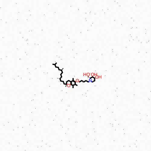 Cc1c(C)c2c(c(C)c1OCCCCCN1CC[C@@H](O)[C@H](O)[C@H]1CO)CC[C@@](C)(CCC[C@H](C)CCC[C@H](C)CCCC(C)C)O2